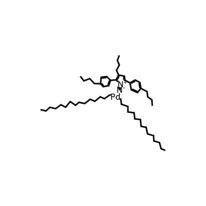 CCCCC1=C(c2ccc(CCCC)cc2)[N+](=[N-])C(c2ccc(CCCC)cc2)=C1.CCCCCCCCCCCCCC[CH2][Pd][CH2]CCCCCCCCCCCCCC